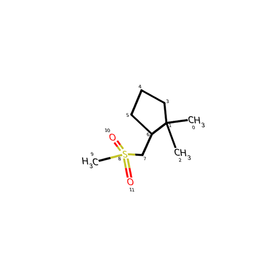 CC1(C)CCCC1CS(C)(=O)=O